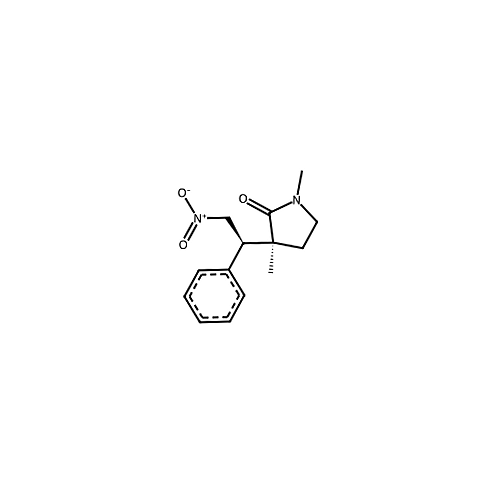 CN1CC[C@@](C)([C@H](C[N+](=O)[O-])c2ccccc2)C1=O